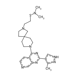 Cc1n[nH]cc1-c1nc(N2CCC3(CCN(CCSN(C)C)C3)CC2)c2ccncc2n1